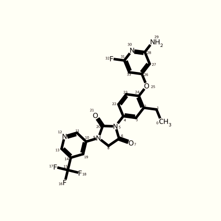 CCc1cc(N2C(=O)CN(c3cncc(C(F)(F)F)c3)C2=O)ccc1Oc1cc(N)nc(F)c1